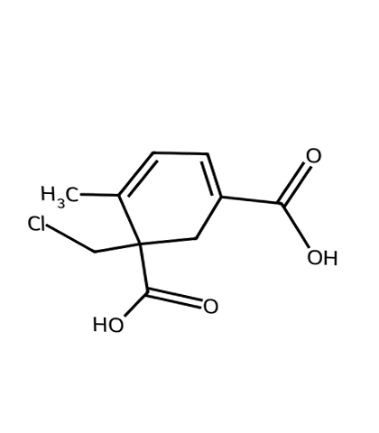 CC1=CC=C(C(=O)O)CC1(CCl)C(=O)O